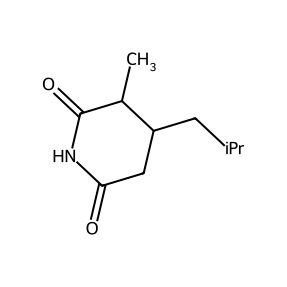 CC(C)CC1CC(=O)NC(=O)C1C